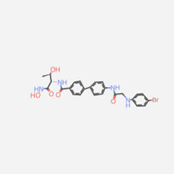 C[C@@H](O)[C@H](NC(=O)c1ccc(-c2ccc(NC(=O)CNc3ccc(Br)cc3)cc2)cc1)C(=O)NO